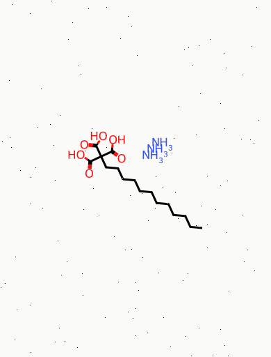 CCCCCCCCCCCCC(C(=O)O)(C(=O)O)C(=O)O.N.N.N